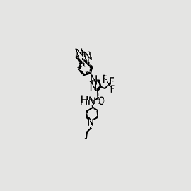 CCCN1CCC(NC(=O)c2nn(-c3ccc4cnnn4c3)cc2CC(F)(F)F)CC1